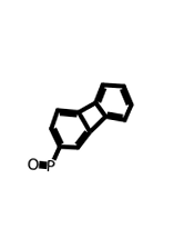 O=Pc1ccc2c(c1)-c1ccccc1-2